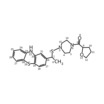 CC(SN1CCN(C(=O)C2CCCO2)CC1)c1ccc2c(c1)Nc1ccccc1S2